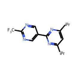 CC(C)c1cc(C(C)C)nc(-c2cnc(C(F)(F)F)nc2)n1